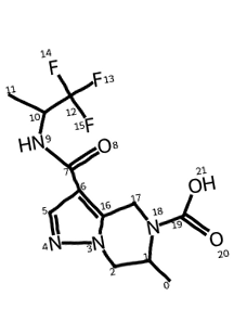 CC1Cn2ncc(C(=O)NC(C)C(F)(F)F)c2CN1C(=O)O